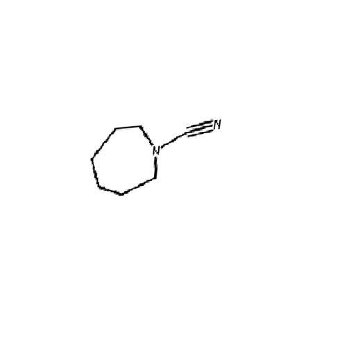 N#CN1CCCCCC1